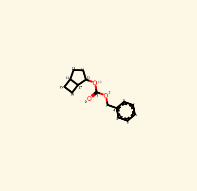 O=C(OCc1ccccc1)OC1CCC2CCC21